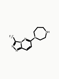 FC(F)(F)c1nnc2ccc(N3CCCNCC3)nn12